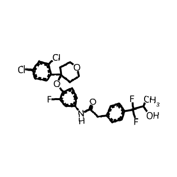 CC(O)C(F)(F)c1ccc(CC(=O)Nc2ccc(OC3(c4ccc(Cl)cc4Cl)CCOCC3)c(F)c2)cc1